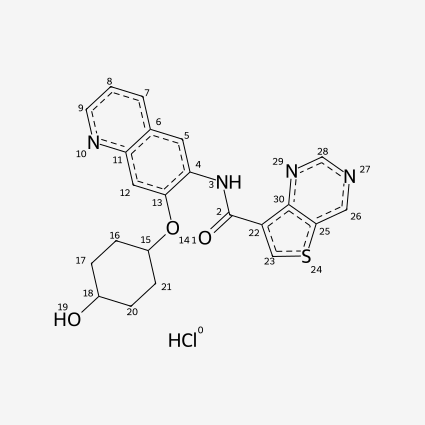 Cl.O=C(Nc1cc2cccnc2cc1OC1CCC(O)CC1)c1csc2cncnc12